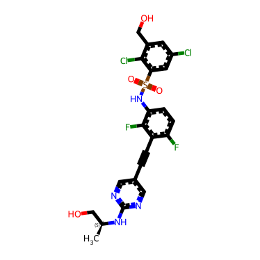 C[C@@H](CO)Nc1ncc(C#Cc2c(F)ccc(NS(=O)(=O)c3cc(Cl)cc(CO)c3Cl)c2F)cn1